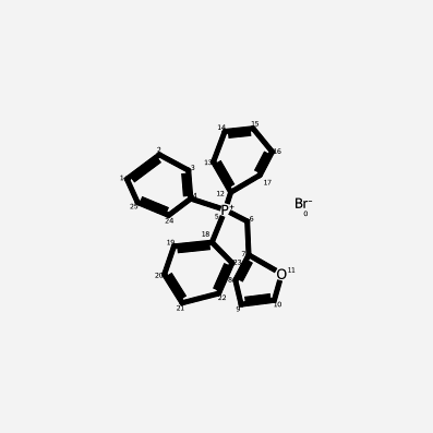 [Br-].c1ccc([P+](Cc2ccco2)(c2ccccc2)c2ccccc2)cc1